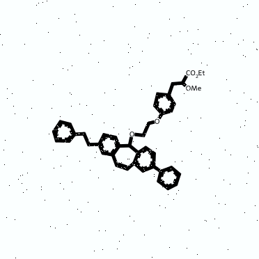 CCOC(=O)C(Cc1ccc(OCCOC2c3ccc(CCc4ccccc4)cc3C=Cc3cc(-c4ccccc4)ccc32)cc1)OC